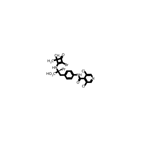 CC(C)[C@](Cc1ccc(NC(=O)c2c(Cl)cncc2Cl)cc1)(NC1=C(Br)C(=O)C1(C)C)C(=O)O